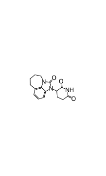 O=C1CCC(n2c(=O)n3c4c(cccc42)CCCC3)C(=O)N1